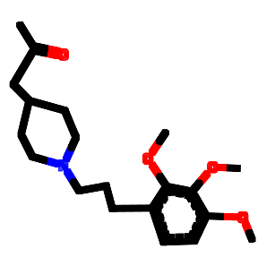 COc1ccc(CCCN2CCC(CC(C)=O)CC2)c(OC)c1OC